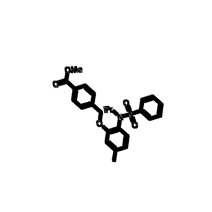 COC(=O)c1ccc(COc2cc(C)ccc2N(C(C)C)S(=O)(=O)c2ccccc2)cc1